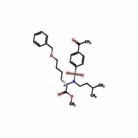 COC(=O)[C@H](CCCCOCc1ccccc1)N(CCC(C)C)S(=O)(=O)c1ccc(C(C)=O)cc1